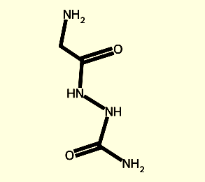 NCC(=O)NNC(N)=O